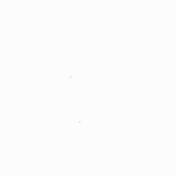 O=C(CNc1ccc(O)c(O)c1Cl)c1ccccc1